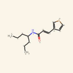 CCCC(CCC)NC(=O)/C=C/c1ccsc1